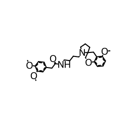 COc1ccc(CC(=O)NCCCCN2CCCC23COc2cccc(OC)c2C3)cc1OC